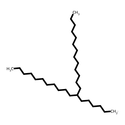 [CH2]CCCCCC(CCCCCCCCCCC)CCCCCCCCCCCCC